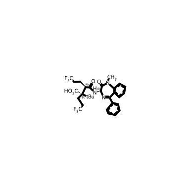 CN1C(=O)[C@@H](NC(=O)[C@H](CCC(F)(F)F)[C@@](CCC(F)(F)F)(C(=O)O)C(C)(C)C)N=C(c2ccccc2)c2ccccc21